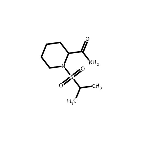 CC(C)S(=O)(=O)N1CCC[CH]C1C(N)=O